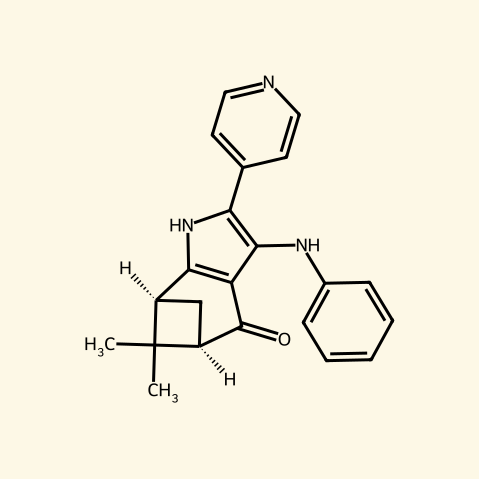 CC1(C)[C@@H]2C[C@H]1C(=O)c1c2[nH]c(-c2ccncc2)c1Nc1ccccc1